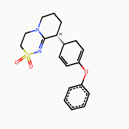 O=S1(=O)CCN2CCC[C@H](C3C=CC(Oc4ccccc4)=CC3)C2=N1